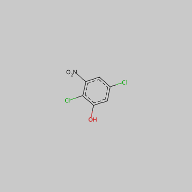 O=[N+]([O-])c1cc(Cl)cc(O)c1Cl